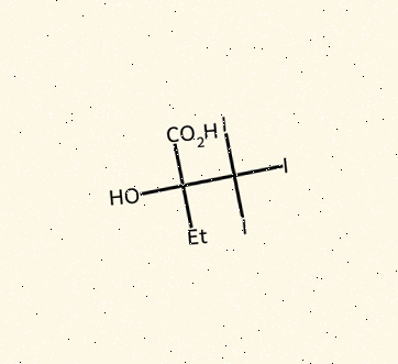 CCC(O)(C(=O)O)C(I)(I)I